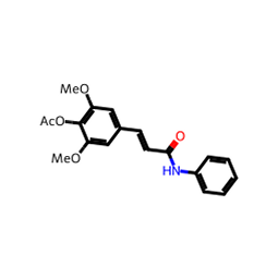 COc1cc(C=CC(=O)Nc2ccccc2)cc(OC)c1OC(C)=O